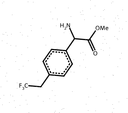 COC(=O)C(N)c1ccc(CC(F)(F)F)cc1